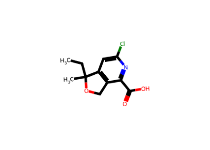 CCC1(C)OCc2c1cc(Cl)nc2C(=O)O